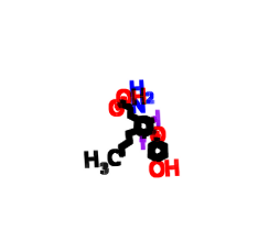 CCCCCc1c(CC(N)C(=O)O)cc(I)c(Oc2ccc(O)cc2)c1I